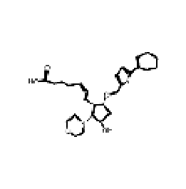 O=C(O)CCC/C=C\C[C@@H]1[C@@H](N2CCOCC2)[C@H](O)C[C@@H]1OCc1ccc(C2CCCCC2)s1